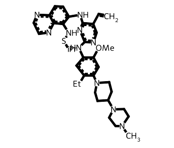 C=Cc1cnc(Nc2cc(CC)c(N3CCC(N4CCN(C)CC4)CC3)cc2OC)nc1Nc1ccc2nccnc2c1NSC(C)C